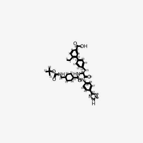 CCc1ccc(C(=O)O)cc1-c1ccc(C[C@H](NC(=O)C2CCC(CNC(=O)OC(C)(C)C)CC2)C(=O)Nc2ccc(-c3nn[nH]n3)cc2)cc1